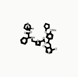 COc1ccc(C(Cc2c(Cl)cncc2Cl)OC(=O)c2ccc(CNC(C(=O)O[C@H]3CN4CCC3CC4)c3ccccc3)s2)cc1OC1CCCC1